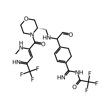 CN/C(=C\C(=N)C(F)(F)F)C(=O)N1CCOC[C@@H]1CNC(C=O)C1=CC=C(C(=N)NC(=O)C(F)(F)F)CC1